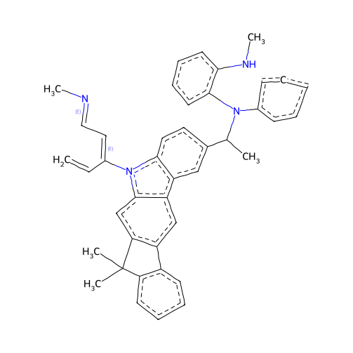 C=C/C(=C\C=N\C)n1c2ccc(C(C)N(c3ccccc3)c3ccccc3NC)cc2c2cc3c(cc21)C(C)(C)c1ccccc1-3